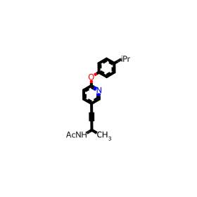 CC(=O)NC(C)C#Cc1ccc(Oc2ccc(C(C)C)cc2)nc1